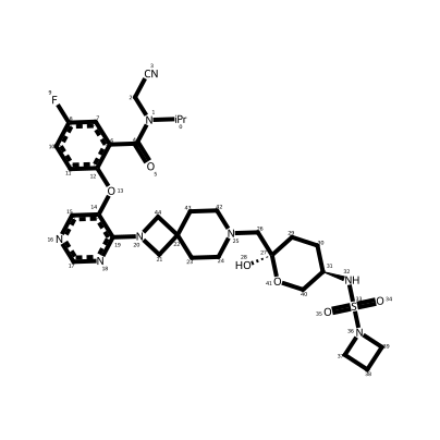 CC(C)N(CC#N)C(=O)c1cc(F)ccc1Oc1cncnc1N1CC2(CCN(C[C@@]3(O)CC[C@@H](NS(=O)(=O)N4CCC4)CO3)CC2)C1